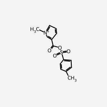 Cc1ccc(S(=O)(=O)OC(=O)c2ccc[n+](C)c2)cc1